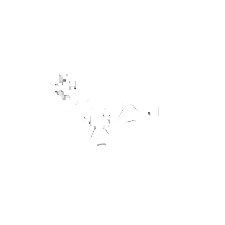 FC(F)(F)c1ccc(N2CC3CC(c4nnn[nH]4)CCN3c3ccccc32)cc1